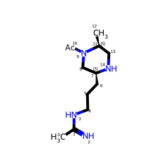 CC(=N)NCCC[C@H]1CN(C(C)=O)[C@@H](C)CN1